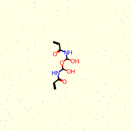 C=CC(=O)NC(O)OC(O)NC(=O)C=C